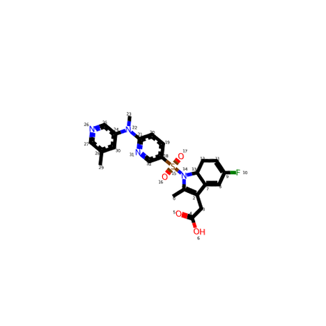 CC1=C(CC(=O)O)C2=CC(F)=CCC2N1S(=O)(=O)c1ccc(N(C)c2cncc(C)c2)nc1